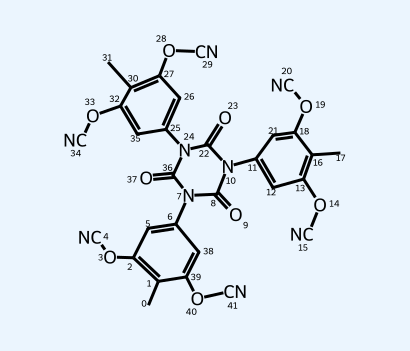 Cc1c(OC#N)cc(-n2c(=O)n(-c3cc(OC#N)c(C)c(OC#N)c3)c(=O)n(-c3cc(OC#N)c(C)c(OC#N)c3)c2=O)cc1OC#N